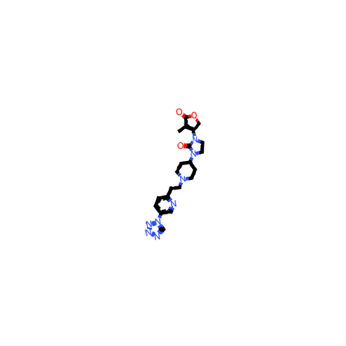 CC1=C(N2CCN(C3CCN(CCc4ccc(-n5cnnn5)cn4)CC3)C2=O)COC1=O